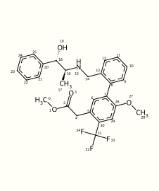 COC(=O)Cc1cc(-c2ccccc2CN[C@@H](C)[C@@H](O)c2ccccc2)c(OC)cc1C(F)(F)F